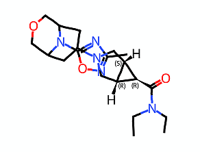 CCN(CC)C(=O)[C@H]1[C@@H]2CN(C3CC4COCC(C3)N4c3nc(C)no3)C[C@@H]21